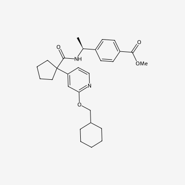 COC(=O)c1ccc([C@H](C)NC(=O)C2(c3ccnc(OCC4CCCCC4)c3)CCCC2)cc1